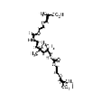 CC(=COCCOC(=O)NCCC(C)(C)CC(C)CNC(=O)OCCOC=C(C)C(=O)O)C(=O)O